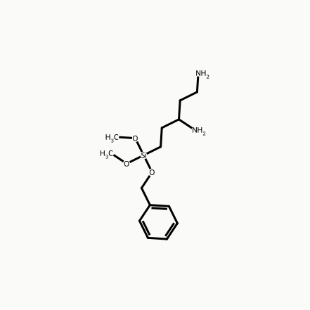 CO[Si](CCC(N)CCN)(OC)OCc1ccccc1